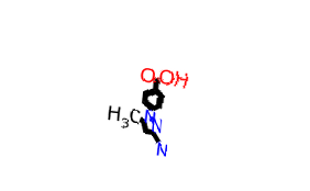 Cc1cc(C#N)nn1-c1ccc(C(=O)O)cc1